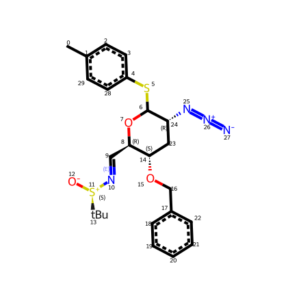 Cc1ccc(SC2O[C@H](/C=N/[S@+]([O-])C(C)(C)C)[C@@H](OCc3ccccc3)C[C@H]2N=[N+]=[N-])cc1